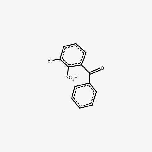 CCc1cccc(C(=O)c2ccccc2)c1S(=O)(=O)O